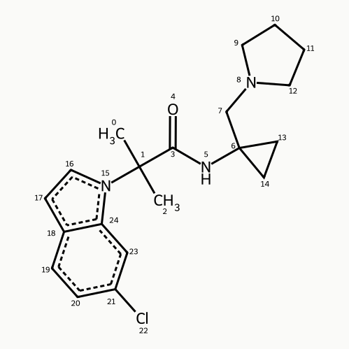 CC(C)(C(=O)NC1(CN2CCCC2)CC1)n1ccc2ccc(Cl)cc21